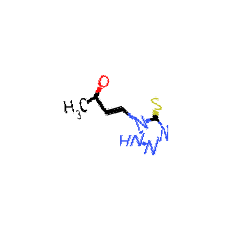 CC(=O)CCn1[nH]nnc1=S